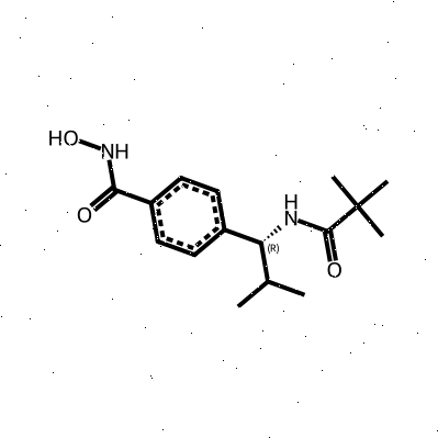 CC(C)[C@@H](NC(=O)C(C)(C)C)c1ccc(C(=O)NO)cc1